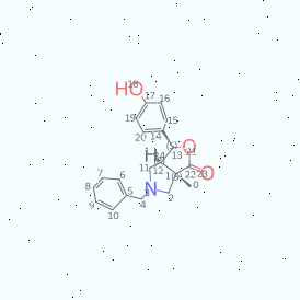 C[C@@]12CN(Cc3ccccc3)C[C@@H]1[C@@H](c1ccc(O)cc1)OC2=O